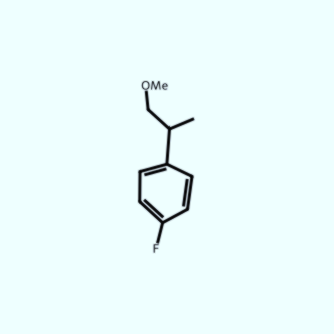 COC[C](C)c1ccc(F)cc1